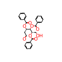 O=CC[C@@H](OC(=O)c1ccccc1)[C@@H](OC(=O)c1ccccc1)[C@@H](CO)OC(=O)c1ccccc1